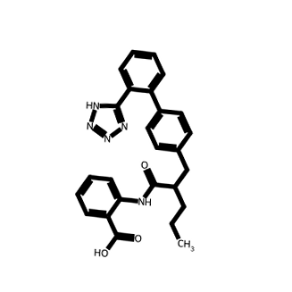 CCCC(Cc1ccc(-c2ccccc2-c2nnn[nH]2)cc1)C(=O)Nc1ccccc1C(=O)O